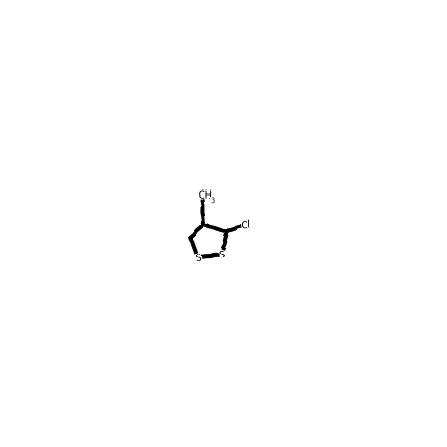 CC1CSSC1Cl